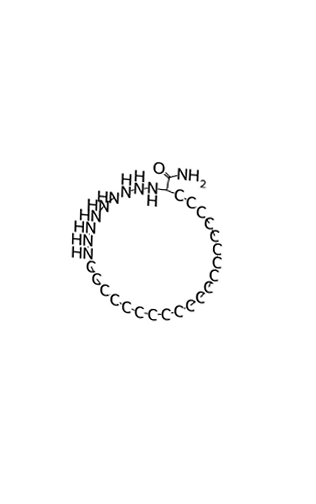 NC(=O)C1CCCCCCCCCCCCCCCCCCCCNNNNNNNNN1